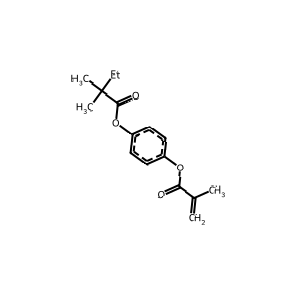 C=C(C)C(=O)Oc1ccc(OC(=O)C(C)(C)CC)cc1